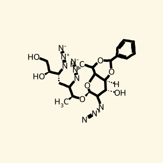 CC1OC(c2ccccc2)O[C@@H]2C1O[C@H](O[C@@H](C)C(C[C@@H](N=[N+]=[N-])[C@@H](O)CO)N=[N+]=[N-])C(N=[N+]=[N-])[C@H]2O